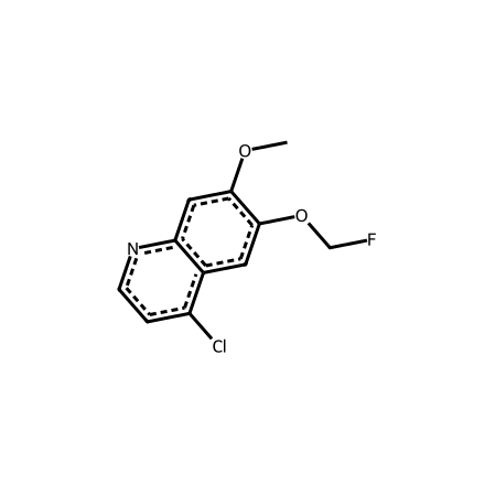 COc1cc2nccc(Cl)c2cc1OCF